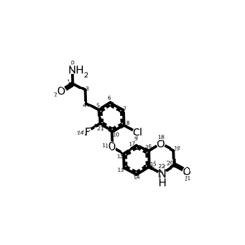 NC(=O)C[CH]c1ccc(Cl)c(Oc2ccc3c(c2)OCC(=O)N3)c1F